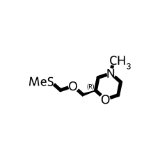 CSCOC[C@H]1CN(C)CCO1